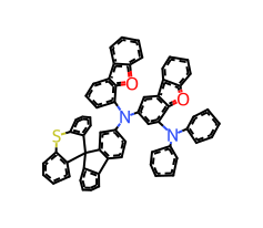 c1ccc(N(c2ccccc2)c2cc(N(c3ccc4c(c3)C3(c5ccccc5Sc5ccccc53)c3ccccc3-4)c3cccc4c3oc3ccccc34)cc3c2oc2ccccc23)cc1